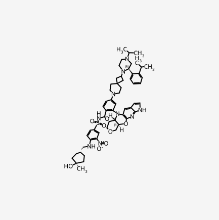 CC(C)c1ccccc1[C@@H]1CN(C(C)C)CCN1C1CC2(CCN(c3ccc(C(=O)NS(=O)(=O)c4ccc(NC[C@H]5CC[C@](C)(O)CC5)c([N+](=O)[O-])c4)c(N4c5cc6cc[nH]c6nc5O[C@H]5COCC[C@@H]54)c3)CC2)C1